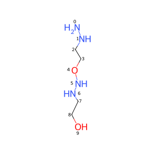 NNCCONNCCO